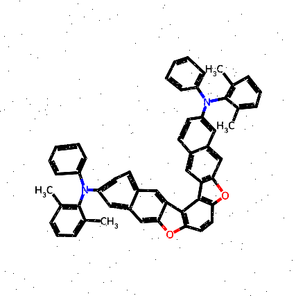 Cc1cccc(C)c1N(c1ccccc1)c1ccc2cc3c(cc2c1)oc1ccc2oc4cc5cc(N(c6ccccc6)c6c(C)cccc6C)ccc5cc4c2c13